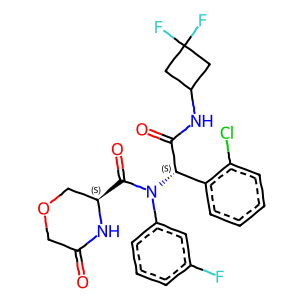 O=C1COC[C@@H](C(=O)N(c2cccc(F)c2)[C@H](C(=O)NC2CC(F)(F)C2)c2ccccc2Cl)N1